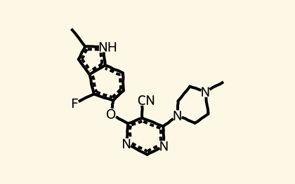 Cc1cc2c(F)c(Oc3ncnc(N4CCN(C)CC4)c3C#N)ccc2[nH]1